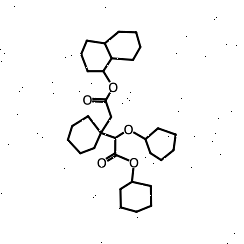 O=C(CC1(C(OC2CCCCC2)C(=O)OC2CCCCC2)CCCCC1)OC1CCCC2CCCCC21